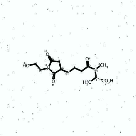 C[C@@H](C(=O)O)N(C)C(=O)CCSC1CC(=O)N(CCO)C1=O